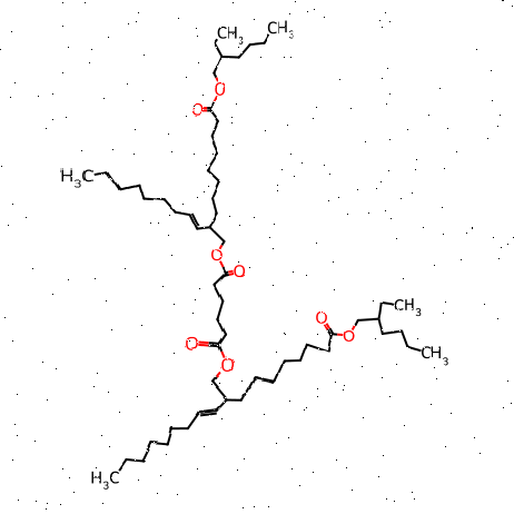 CCCCCCC/C=C/C(CCCCCCCC(=O)OCC(CC)CCCC)COC(=O)CCCCC(=O)OCC(/C=C/CCCCCCC)CCCCCCCC(=O)OCC(CC)CCCC